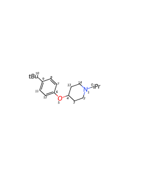 CC(C)N1CCC(Oc2ccc(C(C)(C)C)cc2)CC1